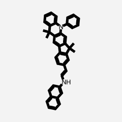 CC1(C)c2cc(/C=C/Nc3ccc4ccccc4c3)ccc2-c2cc3c(cc21)N(c1ccccc1)c1ccccc1C3(C)C